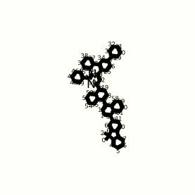 CC1(C)c2ccccc2-c2ccc(-c3ccc(-c4ccc(-c5cc(-c6ccc(-c7ccccc7)cc6-c6ccccc6)nc(-c6ccccc6)n5)c5ccccc45)c4ccccc34)cc21